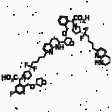 O=C(O)[C@H](c1ccccc1CO[C@@H]1COCC1C1CCc2ccc(CCCCC(F)(F)[C@@H]3CCN([C@@H](C(=O)O)c4cc(F)ccc4CO[C@@H]4CCOC4)C3)nc2N1)N1CC[C@@H](C(F)(F)CCCCc2ccc3c(n2)NCCC3)C1